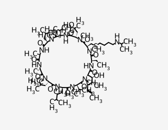 C/C=C/C[C@@H](C)[C@@H](O)[C@H]1C(=O)N[C@H](CC)C(=O)N(C)[C@H](CSCCCCNC(C)C)C(=O)N(C)[C@@H](CC(C)(C)O)C(=O)N[C@H](C(C)C)C(=O)N(C)[C@H](CC(C)C)C(=O)N[C@H](C)C(=O)N[C@@H](C)C(=O)N(C)[C@@H](CC(C)C)C(=O)N(C)[C@H](CCC(C)C)C(=O)N(C)[C@H](C(C)C)C(=O)N1C